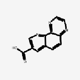 O=C(O)c1cnc2c(ccc3nccnc32)c1